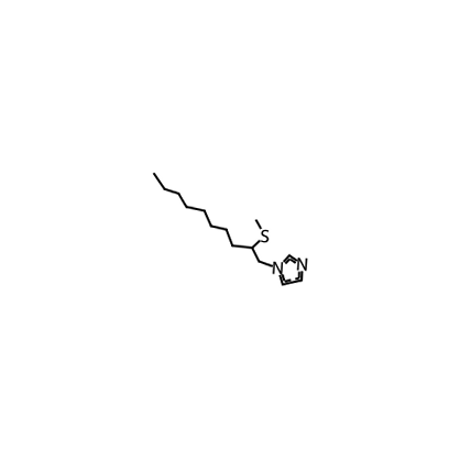 CCCCCCCCC(Cn1ccnc1)SC